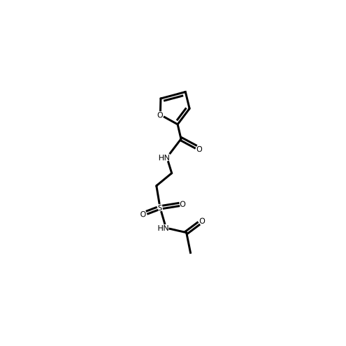 CC(=O)NS(=O)(=O)CCNC(=O)c1ccco1